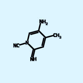 Cc1cc(=N)n(C#N)cc1N